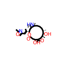 C/C(=C\c1coc(C)n1)[C@@H]1C[C@@H]2N[C@]2(C)CCC[C@H](C)[C@H](O)[C@@H](C)C(=O)C(C)(C)[C@@H](O)CC(=O)O1